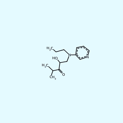 [CH2]CCN(CC(O)C(=O)C(C)C)c1cccnc1